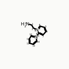 NCC[n+]1ccccc1-[n+]1ccccc1